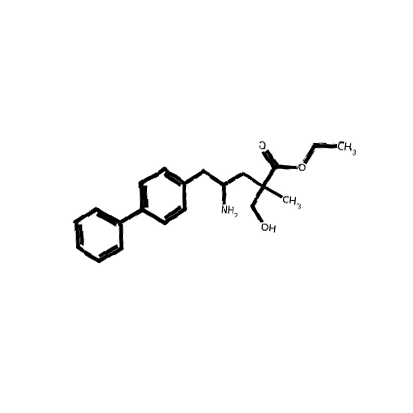 CCOC(=O)C(C)(CO)CC(N)Cc1ccc(-c2ccccc2)cc1